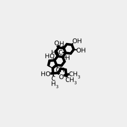 CC1(C)CCC([C@](C)(O)[C@H]2CC[C@@]3(O)C4=CC(=O)[C@@H]5C[C@@H](O)[C@@H](O)C[C@]5(C)[C@H]4CC[C@]23C)O1